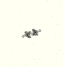 CC(C)[C@@H](C(=O)N[C@@H](CC1CCCCC1)[C@H](O)[C@@H](O)[C@H](CC1CCCCC1)NC(=O)[C@H](C(C)C)N(C(=O)OC(C)(C)C)C(=O)[C@@H](N)Cc1ccccc1)N(C(=O)OC(C)(C)C)C(=O)[C@@H](N)Cc1ccccc1